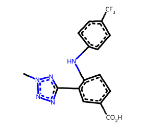 Cn1nnc(-c2cc(C(=O)O)ccc2Nc2ccc(C(F)(F)F)cc2)n1